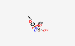 CC#CCOc1ccc(S(=O)(=O)NC(C(=O)OC(C)(C)C)C(C)(C)SCCO)cc1